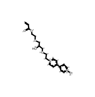 C=CC(=O)OCCOCC(O)COCC[n+]1ccc(-c2cc[n+](CC)cc2)cc1